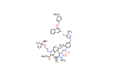 COC(=O)c1c(C)c2c(-c3c(CN(c4ccc(Cc5cc(CSc6cc(OCc7ccc(OC)cc7)c7ccccc7c6)n(C)n5)cc4[N+](=O)[O-])[SH](=O)=O)nn(C)c3C)c(Cl)ccc2n1CCCO[Si](C)(C)C(C)(C)C